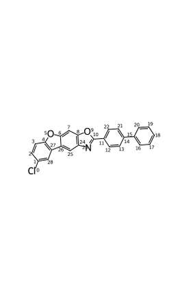 Clc1ccc2oc3cc4oc(-c5ccc(-c6ccccc6)cc5)nc4cc3c2c1